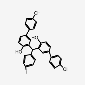 Oc1ccc(-c2ccc(O)c(C(c3ccc(I)cc3)c3cc(-c4ccc(O)cc4)ccc3O)c2)cc1